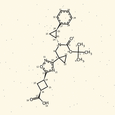 CC(C)(C)OC(=O)N(CC1(c2noc([C@H]3C[C@@H](C(=O)O)C3)n2)CC1)[C@@H]1C[C@H]1c1ccccc1